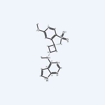 COc1cc2c(cn1)S(=O)(=O)C[C@]21C[C@@H](N(C)c2ncnc3[nH]ccc23)C1